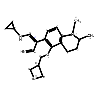 CC1CCc2c(ccc(/C(C=N)=C/NC3CC3)c2OCC2CNC2)N1C